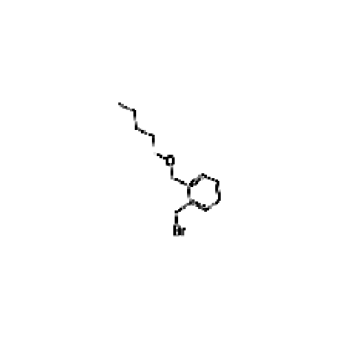 CCCCCOCc1ccccc1CBr